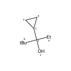 CCC(O)(C1CC1)C(C)(C)C